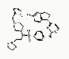 Cn1cccc1CN1CCC(N(CCN2CCCC2)S(=O)(=O)c2ccc(Nc3nccc(N4CCc5cc(F)ccc54)n3)cc2)CC1